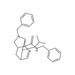 CC(C)CC1C2C=NC3(C(=O)NCc4ccccc4)C(C2)CN(Cc2ccccc2)C13